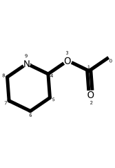 CC(=O)OC1CCCC[N]1